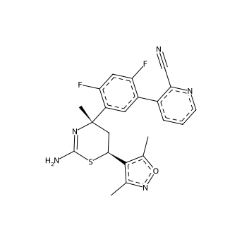 Cc1noc(C)c1[C@@H]1C[C@@](C)(c2cc(-c3cccnc3C#N)c(F)cc2F)N=C(N)S1